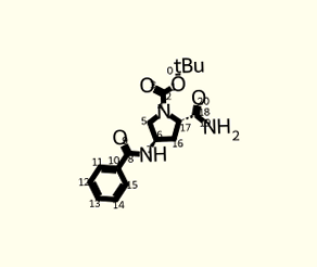 CC(C)(C)OC(=O)N1C[C@H](NC(=O)c2ccccc2)C[C@H]1C(N)=O